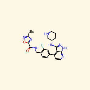 CC(C)(C)c1noc(C(=O)NCc2ccc(-c3ccnc4[nH]nc(N[C@H]5CCCNC5)c34)cc2F)n1